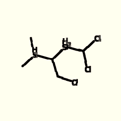 C[SiH](C)C(CCl)[SiH2]C(Cl)Cl